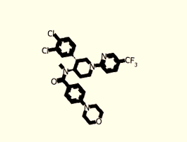 CN(C(=O)c1ccc(N2CCOCC2)cc1)[C@@H]1CCN(c2ccc(C(F)(F)F)cn2)C[C@H]1c1ccc(Cl)c(Cl)c1